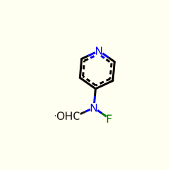 O=[C]N(F)c1ccncc1